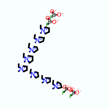 CC[N+]1(C)CCCC1.CC[N+]1(C)CCCC1.CC[N+]1(C)CCCC1.CC[N+]1(C)CCCC1.CC[N+]1(C)CCCC1.CC[N+]1(C)CCCC1.CC[N+]1(C)CCCC1.CC[N+]1(C)CCCC1.[O-]B([O-])F.[O-]B([O-])F.[O-]B([O-])F.[O-]B([O-])F